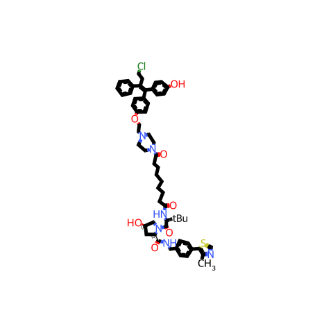 Cc1ncsc1-c1ccc(CNC(=O)[C@@H]2C[C@@H](O)CN2C(=O)C(NC(=O)CCCCCCCC(=O)N2CCN(CCOc3ccc(C(=C(CCCl)c4ccccc4)c4ccc(O)cc4)cc3)CC2)C(C)(C)C)cc1